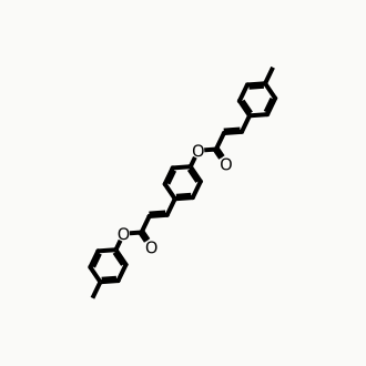 Cc1ccc(/C=C/C(=O)Oc2ccc(/C=C/C(=O)Oc3ccc(C)cc3)cc2)cc1